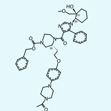 COC[C@]1(O)CCCC[C@H]1n1cnc(C(=O)N2CCN(C(=O)OCc3ccccc3)C[C@H]2CCOc2ccc(N3CCN(C(C)=O)CC3)cc2)c1-c1ccccc1